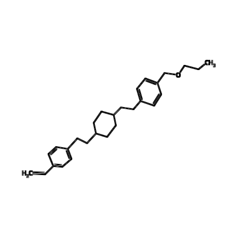 C=Cc1ccc(CCC2CCC(CCc3ccc(COCCC)cc3)CC2)cc1